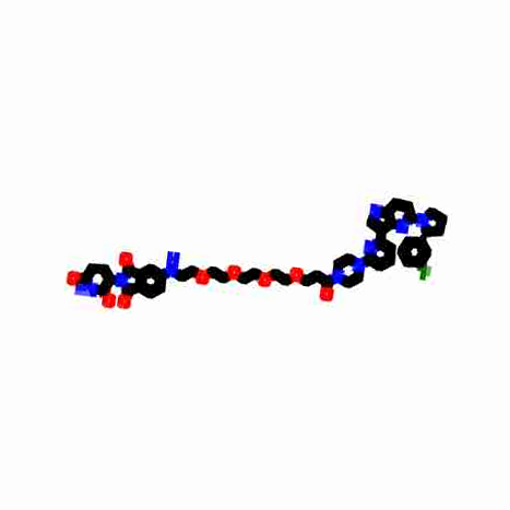 O=C1CCC(N2C(=O)c3ccc(NCCOCCOCCOCCOCCC(=O)N4CCN(c5cccc(C6=CN=C7C=CC(N8CCC[C@@H]8c8cccc(F)c8)=NC67)n5)CC4)cc3C2=O)C(=O)N1